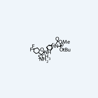 COC(=O)[C@@H](Cc1ccc(NC(=O)[C@](C)(SN)C2CCC(F)(F)CC2)cc1)NC(=O)OC(C)(C)C